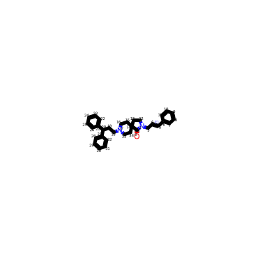 O=C1N(C/C=C/c2ccccc2)CCC12CCN(CCC(c1ccccc1)c1ccccc1)CC2